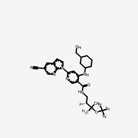 [2H]C([2H])([2H])OC(C)(C)[C@H](F)CNC(=O)c1cnc(-n2ccc3cc(C#N)cnc32)cc1NC1CCCC(CO)C1